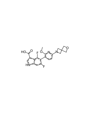 COc1nc(N2CC3(COC3)C2)ccc1-c1c(F)cc2[nH]cc(C(=O)O)c2c1F